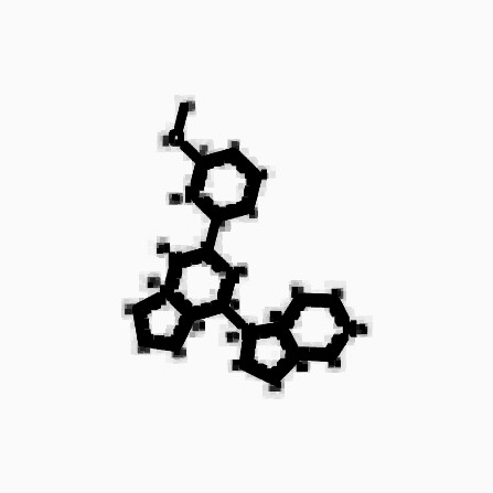 COc1cccc(-c2nc(-n3ccc4cnccc43)c3cccn3n2)n1